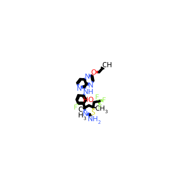 C#CCOc1cnc2c(Nc3ccc(F)c([C@]4(C)C[C@](C)([C@@H](O)C(F)(F)F)SC(N)=N4)c3)nccc2n1